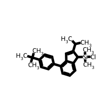 CC(C)C1=Cc2c(-c3ccc(C(C)(C)C)cc3)cccc2C1[Si](C)(C)Cl